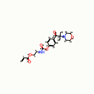 C=CC(=O)OCCNC(=O)Oc1ccc(C(=O)C(C)(C)N2CCOCC2)cc1